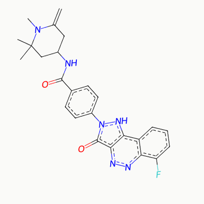 C=C1CC(NC(=O)c2ccc(-n3[nH]c4c(nnc5c(F)cccc54)c3=O)cc2)CC(C)(C)N1C